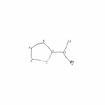 [CH2]C(C)C(C)C1CCCC1